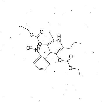 CCCC1=C(OC(=O)OCC)C(c2ccccc2[N+](=O)[O-])C(OC(=O)OCC)=C(C)N1